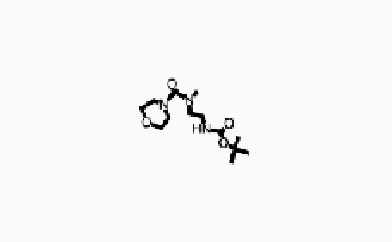 CN(CCNC(=O)OC(C)(C)C)C(=O)N1CCOCC1